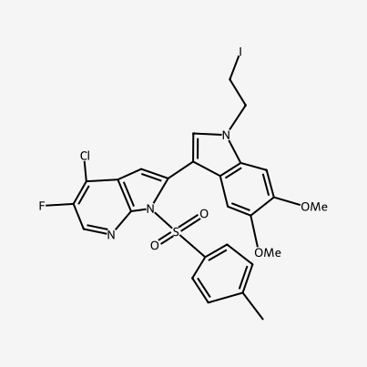 COc1cc2c(-c3cc4c(Cl)c(F)cnc4n3S(=O)(=O)c3ccc(C)cc3)cn(CCI)c2cc1OC